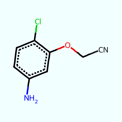 N#CCOc1cc(N)ccc1Cl